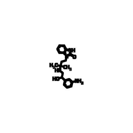 CC(C)(CCn1c(=O)[nH]c2ccccc21)NCC(O)c1cccc(N)c1